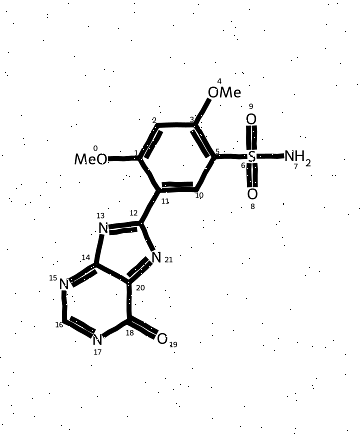 COc1cc(OC)c(S(N)(=O)=O)cc1C1=NC2=NC=NC(=O)C2=N1